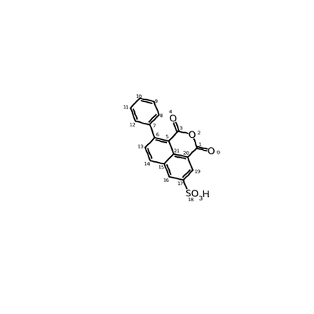 O=C1OC(=O)c2c(-c3ccccc3)ccc3cc(S(=O)(=O)O)cc1c23